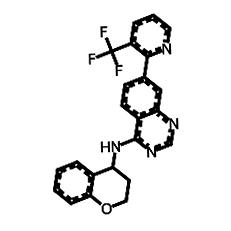 FC(F)(F)c1cccnc1-c1ccc2c(NC3CCOc4ccccc43)ncnc2c1